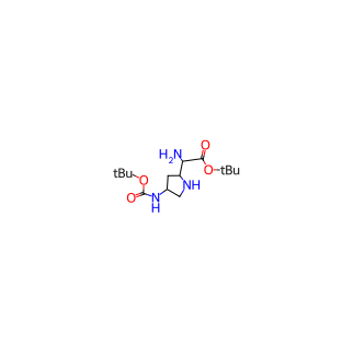 CC(C)(C)OC(=O)NC1CNC(C(N)C(=O)OC(C)(C)C)C1